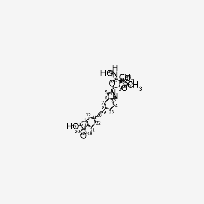 C[C@@](CCn1cc2cc(C#Cc3ccc(C4(CO)COC4)cc3)ccc2n1)(C(=O)NO)S(C)(=O)=O